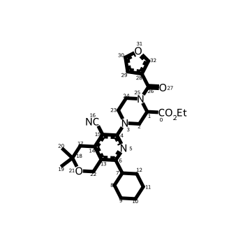 CCOC(=O)C1CN(c2nc(C3CCCCC3)c3c(c2C#N)CC(C)(C)OC3)CCN1C(=O)c1ccoc1